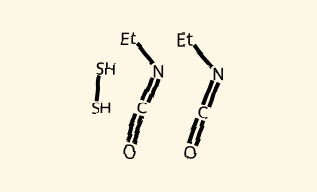 CCN=C=O.CCN=C=O.SS